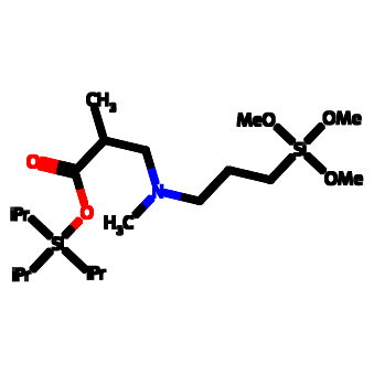 CO[Si](CCCN(C)CC(C)C(=O)O[Si](C(C)C)(C(C)C)C(C)C)(OC)OC